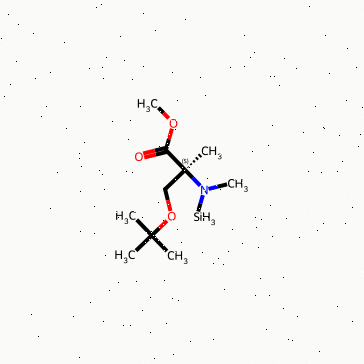 COC(=O)[C@](C)(COC(C)(C)C)N(C)[SiH3]